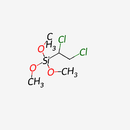 CO[Si](OC)(OC)C(Cl)CCl